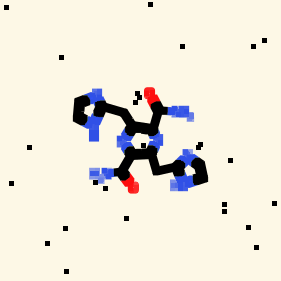 NC(=O)c1nc(Cc2ncc[nH]2)c(C(N)=O)nc1Cc1ncc[nH]1